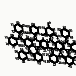 Cc1cc(C)c(N2c3cc4c(cc3B3c5ccccc5Oc5c6c(cc2c53)N(c2ccccc2)c2ccccc2B6c2c(C)cccc2C)B2c3ccccc3N(c3ccccc3)c3cc(N(c5ccccc5)c5ccccc5)cc(c32)N4c2ccccc2)c(C)c1